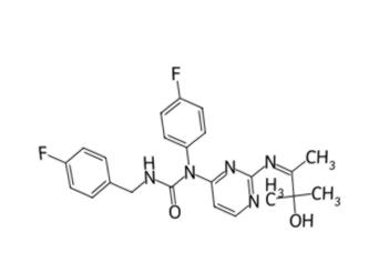 CC(=Nc1nccc(N(C(=O)NCc2ccc(F)cc2)c2ccc(F)cc2)n1)C(C)(C)O